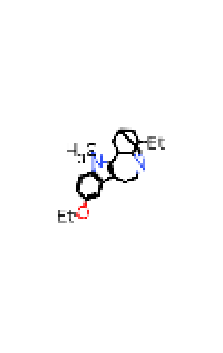 CCOc1ccc2c(c1)c1c(n2C)C2CC3CC(CC)C2N(CC1)C3